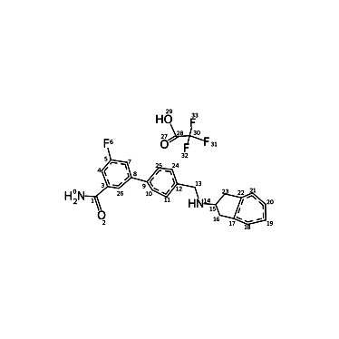 NC(=O)c1cc(F)cc(-c2ccc(CNC3Cc4ccccc4C3)cc2)c1.O=C(O)C(F)(F)F